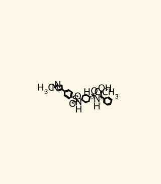 Cn1cc(-c2ccc(S(=O)(=O)N[C@H]3CC[C@H](C(=O)N[C@@H](c4ccccc4)C(C)(C)O)CC3)cc2)cn1